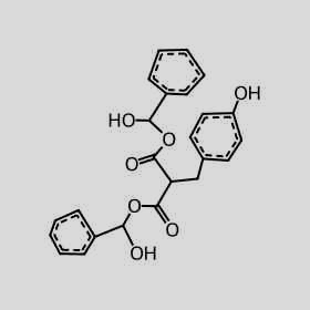 O=C(OC(O)c1ccccc1)C(Cc1ccc(O)cc1)C(=O)OC(O)c1ccccc1